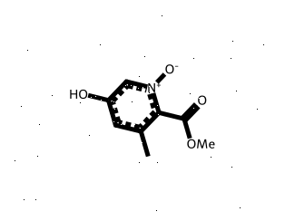 COC(=O)c1c(C)cc(O)c[n+]1[O-]